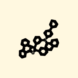 c1ccc(-c2ccc(N(c3cccc(-c4c(-c5ccccc5)oc5c6ccccc6c6ccccc6c45)c3)c3cccc4ccccc34)cc2)cc1